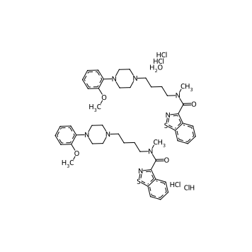 COc1ccccc1N1CCN(CCCCN(C)C(=O)c2nsc3ccccc23)CC1.COc1ccccc1N1CCN(CCCCN(C)C(=O)c2nsc3ccccc23)CC1.Cl.Cl.Cl.Cl.O